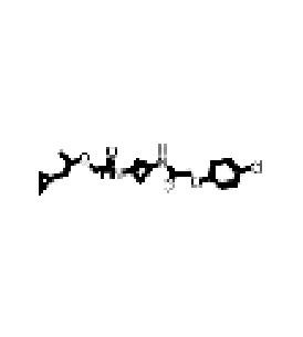 CC(CC1CC1)OCC(=O)NC12CC(NC(=O)COc3ccc(Cl)cc3)(C1)C2